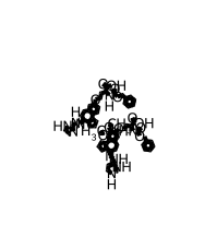 COc1c(OCCC(NC(=O)OCc2ccccc2)C(=O)O)cc2c(c1OC)C1=C(CCC1)C(=NNC1=CCNCN1)CC2.O=C(NC(CCOc1ccc2c(c1)CCC(=NNC1=NCCN1)C1=C2CCC1)C(=O)O)OCc1ccccc1